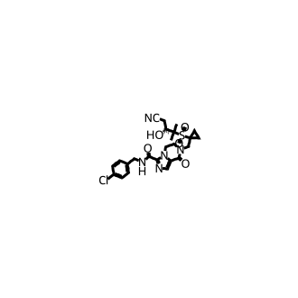 CC(C)([C@H](O)CC#N)S(=O)(=O)C1(CN2CCn3c(cnc3C(=O)NCc3ccc(Cl)cc3)C2=O)CC1